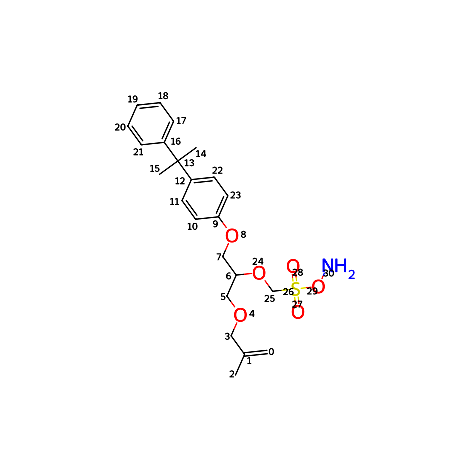 C=C(C)COCC(COc1ccc(C(C)(C)c2ccccc2)cc1)OCS(=O)(=O)ON